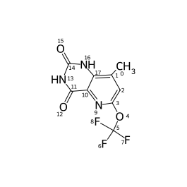 Cc1cc(OC(F)(F)F)nc2c(=O)[nH]c(=O)[nH]c12